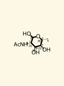 CC(=O)N[C@@H]1C(O)O[C@H](C)[C@@H](O)[C@@H]1O